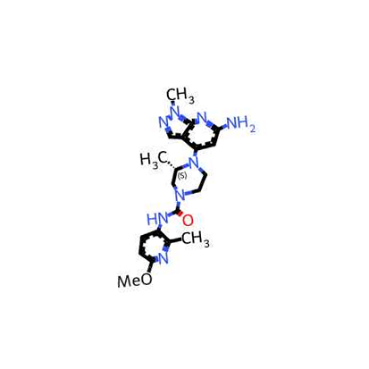 COc1ccc(NC(=O)N2CCN(c3cc(N)nc4c3cnn4C)[C@@H](C)C2)c(C)n1